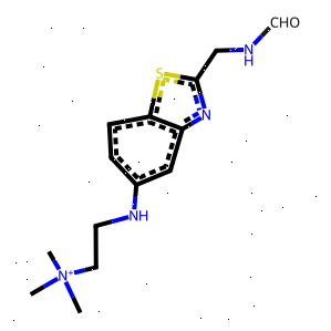 C[N+](C)(C)CCNc1ccc2sc(CNC=O)nc2c1